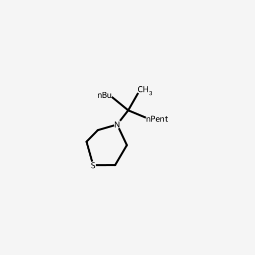 CCCCCC(C)(CCCC)N1CCSCC1